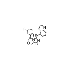 Fc1cccc([C@@H]2COCc3nnc(Nc4cccc5ncccc45)n32)c1